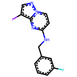 Fc1cccc(CNc2ccn3ncc(I)c3n2)c1